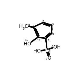 Cc1cccc(P(=O)(O)O)c1O